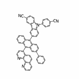 N#Cc1ccc(-n2c3ccc(C#N)cc3c3cc(-c4c5ccccc5c(-c5ccnc6c5ccc5cccnc56)c5cc(-c6ccccc6)ccc45)ccc32)cc1